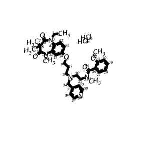 CCN1C(=O)C(C)(C)C(=O)N(C)c2cc(OCCCN(CCN(C)C(=O)c3ccccc3OC)Cc3ccncc3)ccc21.Cl.Cl